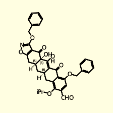 CC(C)Oc1c(C=O)cc(OCc2ccccc2)c2c1C[C@H]1C[C@H]3Cc4onc(OCc5ccccc5)c4C(=O)[C@@]3(O)C(O)=C1C2=O